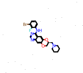 Fc1c(Br)cccc1Nc1ncnc2cc3c(cc12)O[C@@H](CN1CCCCC1)CO3